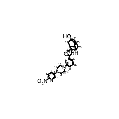 C[C@@H]1CN(c2ccc([N+](=O)[O-])nc2)CCN1c1cccc(C(=O)N[C@H]2C3CC4CC2C[C@](O)(C4)C3)n1